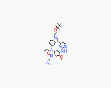 C=CC(=O)Nc1cc(Nc2nccc(-c3cn(CCO[Si](C)(C)C(C)(C)C)c4ccccc34)n2)c(OC)cc1N(C)CCN(C)C